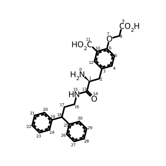 N[C@@H](Cc1ccc(OCC(=O)O)c(C(=O)O)c1)C(=O)NCCC(c1ccccc1)c1ccccc1